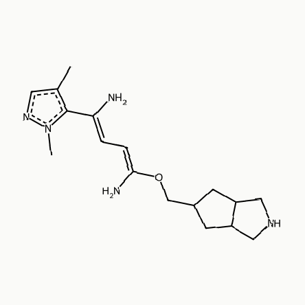 Cc1cnn(C)c1/C(N)=C/C=C(\N)OCC1CC2CNCC2C1